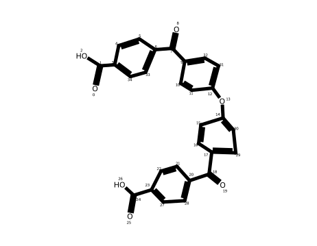 O=C(O)c1ccc(C(=O)c2ccc(Oc3ccc(C(=O)c4ccc(C(=O)O)cc4)cc3)cc2)cc1